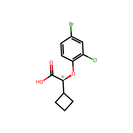 O=C(O)[C@@H](Oc1ccc(Br)cc1Cl)C1CCC1